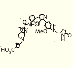 COc1cc(-c2nccc(-c3cccc(NC(=O)c4nc5c(n4C)CCN(CC46CC(C(=O)O)(C4)C6)C5)c3Cl)c2Cl)ccc1CNC[C@@H]1CCC(=O)N1